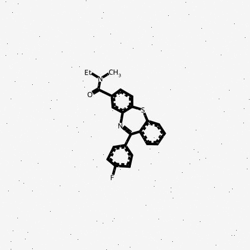 CCN(C)C(=O)c1ccc2c(c1)N=C(c1ccc(F)cc1)c1ccccc1S2